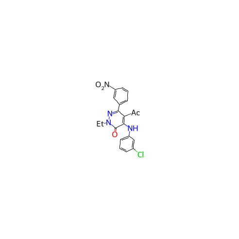 CCn1nc(-c2cccc([N+](=O)[O-])c2)c(C(C)=O)c(Nc2cccc(Cl)c2)c1=O